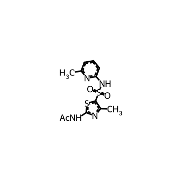 CC(=O)Nc1nc(C)c(S(=O)(=O)Nc2cccc(C)n2)s1